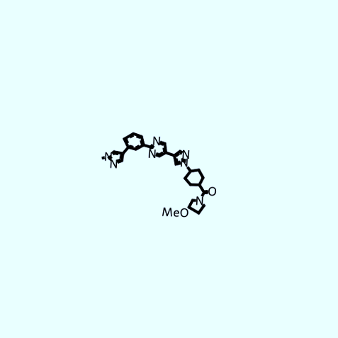 COC1CCN(C(=O)C2CCC(n3cc(-c4cnc(-c5cccc(-c6cnn(C)c6)c5)nc4)cn3)CC2)C1